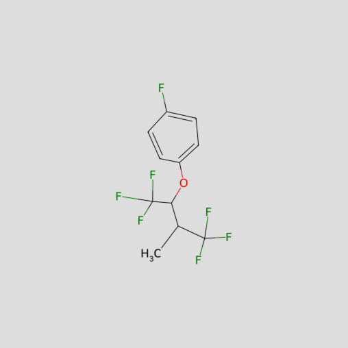 CC(C(Oc1ccc(F)cc1)C(F)(F)F)C(F)(F)F